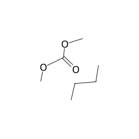 CCCC.COC(=O)OC